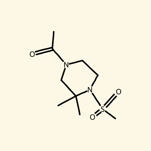 CC(=O)N1CCN(S(C)(=O)=O)C(C)(C)C1